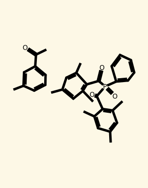 CC(=O)c1cccc(C)c1.Cc1cc(C)c(C(=O)P(=O)(C(=O)c2c(C)cc(C)cc2C)c2ccccc2)c(C)c1